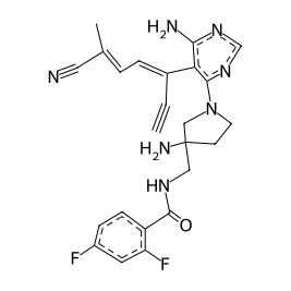 C#C/C(=C\C=C(/C)C#N)c1c(N)ncnc1N1CCC(N)(CNC(=O)c2ccc(F)cc2F)C1